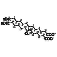 CCCCCCCCCCCCCCCCCCCCCC(=O)[O-].CCCCCCCCCCCCCCCCCCCCCC(=O)[O-].[Cu+2]